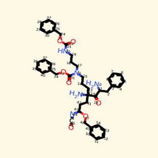 NC(Cc1ccccc1)C(=O)C(N)(CCCN(CCCNC(=O)OCc1ccccc1)C(=O)OCc1ccccc1)CCC(N=C=O)OCc1ccccc1